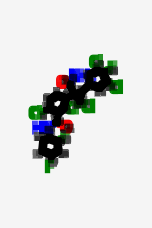 NC(=O)C1(c2ccc(Cl)c(C(=O)Nc3ccc(F)cc3F)c2)C(c2cc(Cl)c(F)c(Cl)c2)C1(Cl)Cl